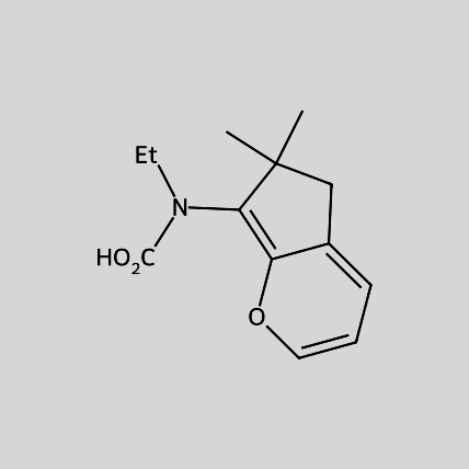 CCN(C(=O)O)C1=C2OC=CC=C2CC1(C)C